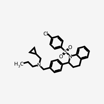 CCCN(Cc1ccc(C2CCc3ccccc3N2S(=O)(=O)c2ccc(Cl)cc2)cc1)CC1CC1